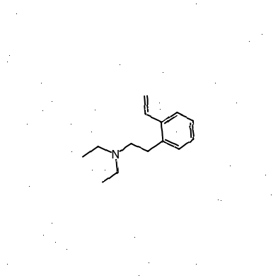 C=Cc1ccccc1CCN(CC)CC